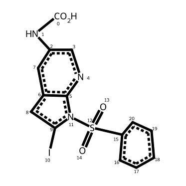 O=C(O)Nc1cnc2c(c1)cc(I)n2S(=O)(=O)c1ccccc1